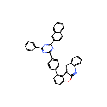 c1ccc(-c2nc(-c3ccc(-c4cccc5oc6nc7ccccc7cc6c45)cc3)nc(-c3ccc4ccccc4c3)n2)cc1